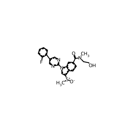 CN(CCO)C(=O)c1ccc2c([S+](C)[O-])cn(-c3ncc(-c4ccccc4F)cn3)c2c1